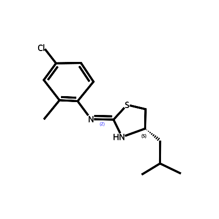 Cc1cc(Cl)ccc1/N=C1/N[C@@H](CC(C)C)CS1